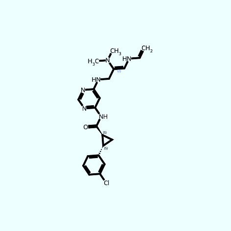 C=CN/C=C(/CNc1cc(NC(=O)[C@H]2C[C@@H]2c2cccc(Cl)c2)ncn1)N(C)C